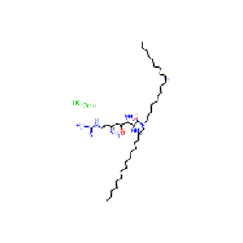 CCCCCCCC/C=C\CCCCCCCCN(CCCCCCCCCCCCCCCC)C(=O)C(N)C(N)C(=O)C[C@@H](N)CCNC(=N)N.Cl.Cl.Cl